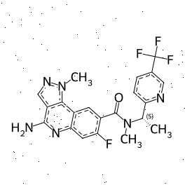 C[C@@H](c1ccc(C(F)(F)F)cn1)N(C)C(=O)c1cc2c(cc1F)nc(N)c1cnn(C)c12